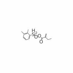 C=C(CC)C(=O)OO[SiH2]c1cccc(C)c1C